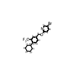 FC(F)(F)c1cc(COc2ccc(Br)cn2)ccc1C1CCCCC1